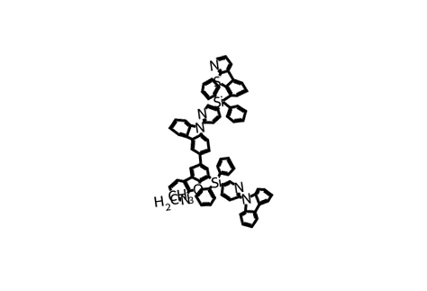 C=Nc1oc2c([Si](c3ccccc3)(c3ccccc3)c3ccc(-n4c5ccccc5c5ccccc54)nc3)cc(-c3ccc4c(c3)c3ccccc3n4-c3ccc([Si](c4ccccc4)(c4ccccc4)c4cccc5c4sc4ncccc45)cn3)cc2c1/C=C\C